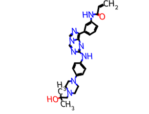 C=CC(=O)Nc1cccc(-c2ncn3cnc(Nc4ccc(N5CCN(CC(C)(C)O)CC5)cc4)nc23)c1